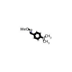 CO/N=C/c1ccc(N(C)C)cc1